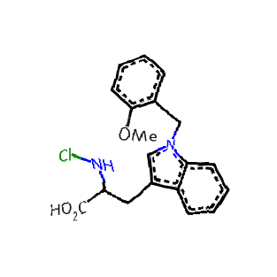 COc1ccccc1Cn1cc(CC(NCl)C(=O)O)c2ccccc21